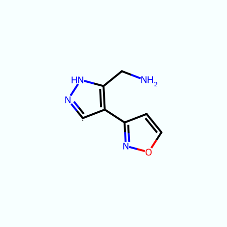 NCc1[nH]n[c]c1-c1ccon1